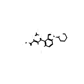 COC(=O)c1nc(Cl)nc(-c2c(C)ccc3c2cnn3C2CCCCO2)c1Cl